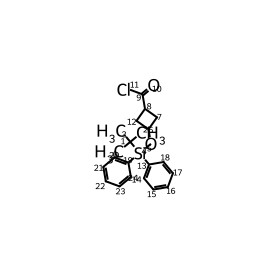 CC(C)(C)[Si](OC1CC(C(=O)Cl)C1)(c1ccccc1)c1ccccc1